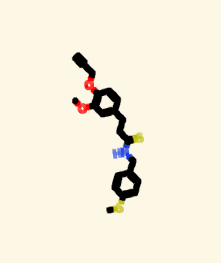 C#CCOc1ccc(CCC(=S)NCc2ccc(SC)cc2)cc1OC